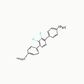 CCCCCCCc1ccc(-c2ccc(-c3ccc(CCCCC)cc3)c(F)c2F)cc1